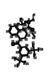 CCOC(=O)[N@+]1(C(F)(F)F)c2ccccc2C(C(=O)c2cc(C(F)(F)F)cc(C(F)(F)F)c2)C[C@H]1CC